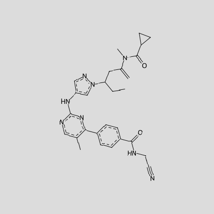 C=C(CC(CC)n1cc(Nc2ncc(C)c(-c3ccc(C(=O)NCC#N)cc3)n2)cn1)N(C)C(=O)C1CC1